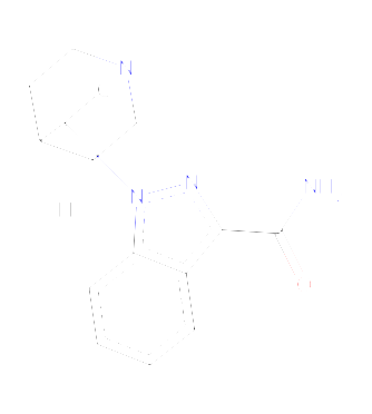 NC(=O)c1nn([C@@H]2CN3CCC2CC3)c2ccccc12